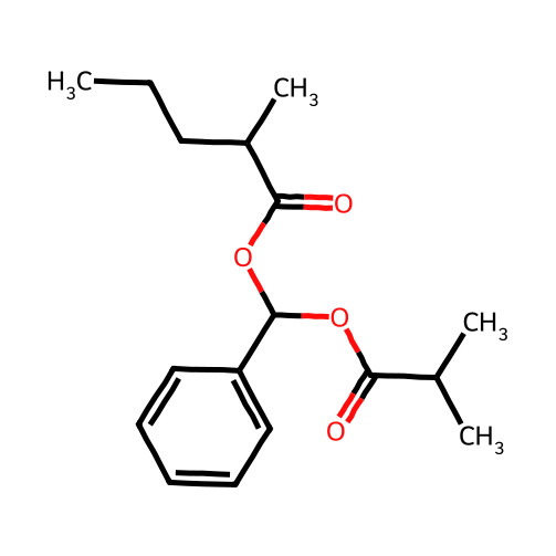 CCCC(C)C(=O)OC(OC(=O)C(C)C)c1ccccc1